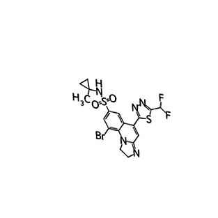 CC1(NS(=O)(=O)c2cc(Br)c3c(c2)C(c2nnc(C(F)F)s2)=CC2=NCCN23)CC1